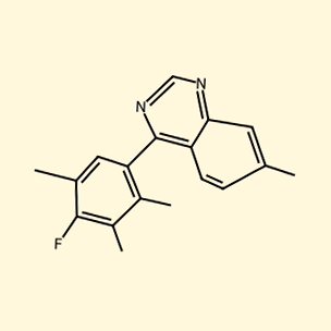 Cc1ccc2c(-c3cc(C)c(F)c(C)c3C)ncnc2c1